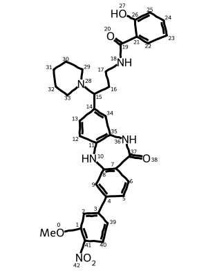 COc1cc(-c2ccc3c(c2)Nc2ccc(C(CCNC(=O)c4ccccc4O)N4CCCCC4)cc2NC3=O)ccc1[N+](=O)[O-]